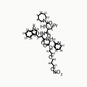 CC(C)CC(NC(=O)N1CCCCCC1)C(=O)NC(Cc1cn(C)c2ccccc12)C(=O)N[C@H](Cc1ccccn1)C(=O)OCCOCCCO[N+](=O)[O-]